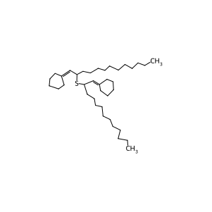 CCCCCCCCCCCC(C=C1CCCCC1)SC(C=C1CCCCC1)CCCCCCCCCCC